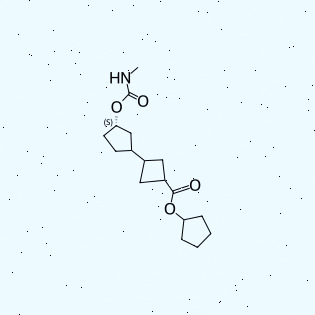 CNC(=O)O[C@H]1CCC(C2CC(C(=O)OC3CCCC3)C2)C1